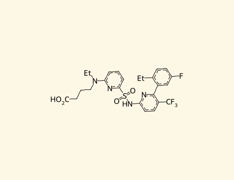 CCc1ccc(F)cc1-c1nc(NS(=O)(=O)c2cccc(N(CC)CCCC(=O)O)n2)ccc1C(F)(F)F